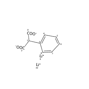 O=C([O-])C(C(=O)[O-])c1ccccc1.[Li+].[Li+]